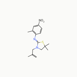 C=C(C)CN1CC(C)(C)S/C1=N\c1ccc([N+](=O)[O-])cc1C